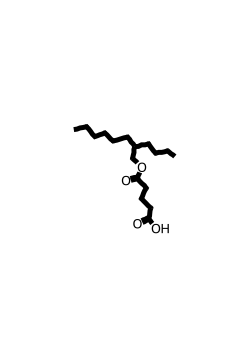 CCCCCCC(CCCC)COC(=O)CCCC(=O)O